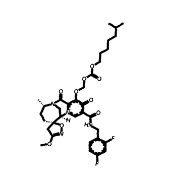 COC1=NO[C@@]2(CC[C@H](C)N3C[C@H]2n2cc(C(=O)NCc4ccc(F)cc4F)c(=O)c(OCOC(=O)OCCCCCC(C)C)c2C3=O)C1